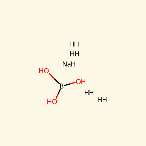 OB(O)O.[HH].[HH].[HH].[HH].[NaH]